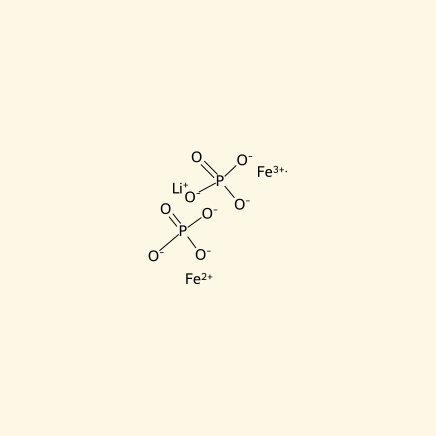 O=P([O-])([O-])[O-].O=P([O-])([O-])[O-].[Fe+2].[Fe+3].[Li+]